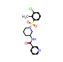 Cc1c(Cl)cccc1S(=O)(=O)N1CCCC(NC(=O)c2cccnc2)C1